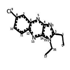 CCc1nc2nc3cc(Cl)ccc3nc2n1CC